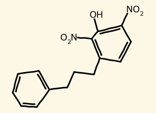 O=[N+]([O-])c1ccc(CCCc2ccccc2)c([N+](=O)[O-])c1O